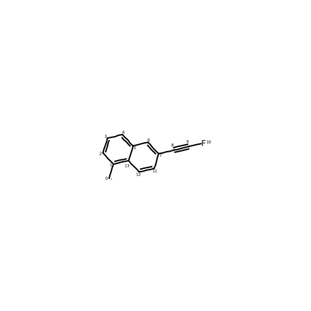 [CH2]c1cccc2cc(C#CF)ccc12